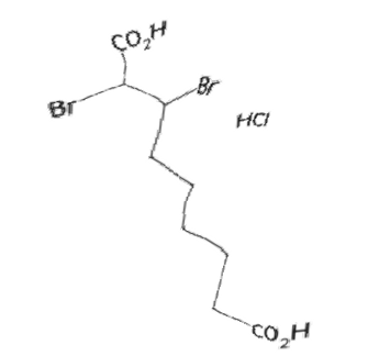 Cl.O=C(O)CCCCCC(Br)C(Br)C(=O)O